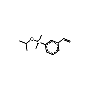 C=Cc1cccc([Si](C)(C)OC(C)C)c1